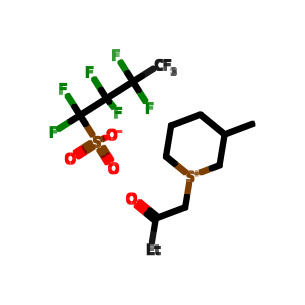 CCC(=O)C[S+]1CCCC(C)C1.O=S(=O)([O-])C(F)(F)C(F)(F)C(F)(F)C(F)(F)F